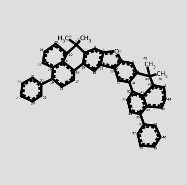 CC1(C)c2cc3oc4cc5c(cc4c3cc2-c2ccc(-c3ccccc3)c3cccc1c23)-c1ccc(-c2ccccc2)c2cccc(c12)C5(C)C